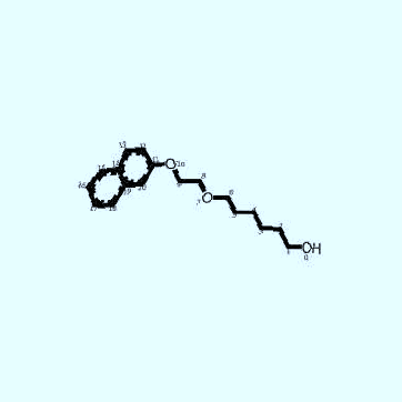 OCCCCCCOCCOc1ccc2ccccc2c1